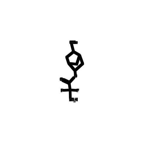 COC1CC2CC1CC2OC(=O)C(F)(F)S(=O)(=O)O